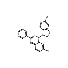 Clc1ccc2c(c1)CCC2c1nc(-c2cccnc2)nc2ccc(Cl)cc12